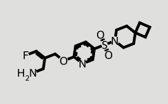 NC/C(=C\F)COc1ccc(S(=O)(=O)N2CCC3(CCC3)CC2)cn1